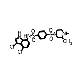 CC1CN(S(=O)(=O)c2ccc(S(=O)(=O)Nc3ccc(Cl)c4c(Cl)c[nH]c34)cc2)CCN1